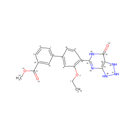 CCOc1cc(-c2cccc(C(=O)OC)c2)ccc1-c1nc2c(c(=O)[nH]1)NNN2